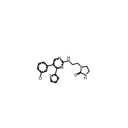 O=C1NCCN1CCNc1ncc(-c2cccc(Cl)c2)c(-c2cccs2)n1